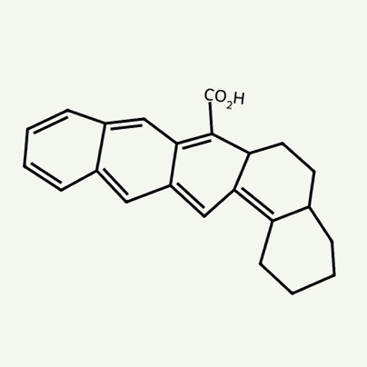 O=C(O)C1=c2cc3ccccc3cc2=CC2=C3CCCCC3CCC21